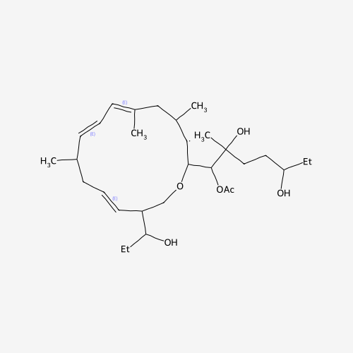 CCC(O)CCC(C)(O)C(OC(C)=O)C1[CH]C(C)C/C(C)=C/C=C/C(C)C/C=C/C(C(O)CC)CO1